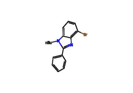 CCCCn1c(-c2ccccc2)nc2c(Br)cccc21